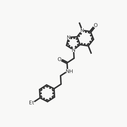 CCc1ccc(CCNC(=O)Cn2cnc3c2c(C)cc(=O)n3C)cc1